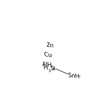 [AlH3].[Cu].[SiH3][SnH].[Zn]